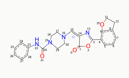 O=C1OC(c2cccc3c2OCC3)=N/C1=C/N1CCN(C(=O)Nc2ccccc2)CC1